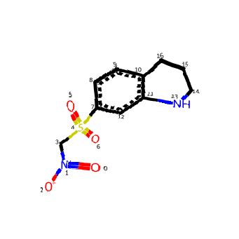 O=[N+]([O-])CS(=O)(=O)c1ccc2c(c1)NCCC2